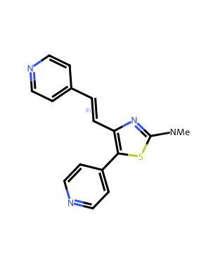 CNc1nc(/C=C/c2ccncc2)c(-c2ccncc2)s1